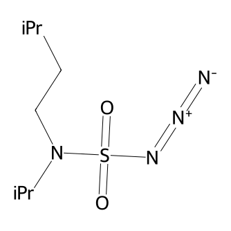 CC(C)CCN(C(C)C)S(=O)(=O)N=[N+]=[N-]